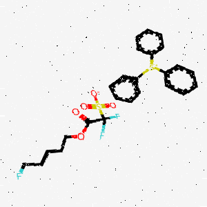 O=C(OCCCCCF)C(F)(F)S(=O)(=O)[O-].c1ccc([S+](c2ccccc2)c2ccccc2)cc1